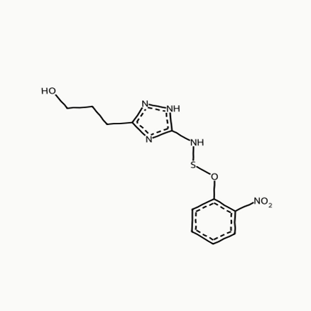 O=[N+]([O-])c1ccccc1OSNc1nc(CCCO)n[nH]1